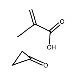 C=C(C)C(=O)O.O=C1CC1